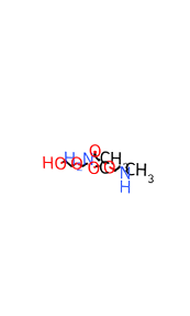 CCC(N)=O.CNCCOCCOCCOCCO